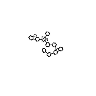 c1ccc(-c2cccc(-c3ccc4c5ccccc5n(-c5cccc(-c6cccc(-c7nc(-c8ccccc8)nc(-c8ccc9c(c8)oc8ccccc89)n7)c6)c5)c4c3)c2)cc1